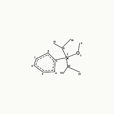 CO[Si](c1ccccc1)(C(C)C)C(C)C